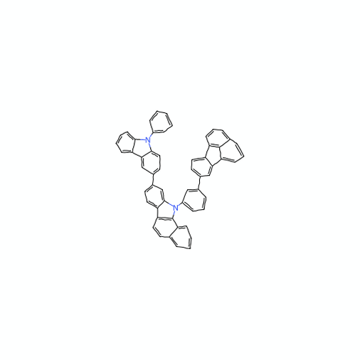 c1ccc(-n2c3ccccc3c3cc(-c4ccc5c6ccc7ccccc7c6n(-c6cccc(-c7ccc8c(c7)-c7cccc9cccc-8c79)c6)c5c4)ccc32)cc1